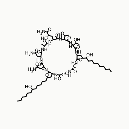 CCCCCCCCCC(O)CCC1NC(=O)C(C(C)O)NC(=O)C(C(C)O)NC(=O)C(CC(O)C(N)=O)NC(=O)C(C)NC(=O)C(CC(N)=O)NC(=O)C(CC(N)=O)NC(=O)C(CCCCCCCC(O)CCCCCC)NC(=O)CCNC(=O)CNC1=O